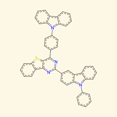 c1ccc(-n2c3ccccc3c3cc(-c4nc(-c5ccc(-n6c7ccccc7c7ccccc76)cc5)c5sc6ccccc6c5n4)ccc32)cc1